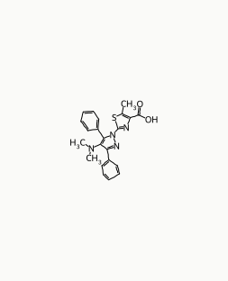 Cc1sc(-n2nc(-c3ccccc3)c(N(C)C)c2-c2ccccc2)nc1C(=O)O